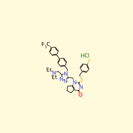 CCN(CC)Cc1nnc(Cn2c(SCc3ccc(F)cc3)nc(=O)c3c2CCC3)n1Cc1ccc(-c2ccc(C(F)(F)F)cc2)cc1.Cl